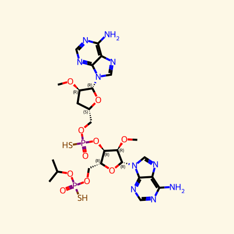 CO[C@@H]1[C@H](OP(=O)(S)OC[C@@H]2C[C@@H](OC)[C@H](n3cnc4c(N)ncnc43)O2)[C@@H](COP(=O)(S)OC(C)C)O[C@H]1n1cnc2c(N)ncnc21